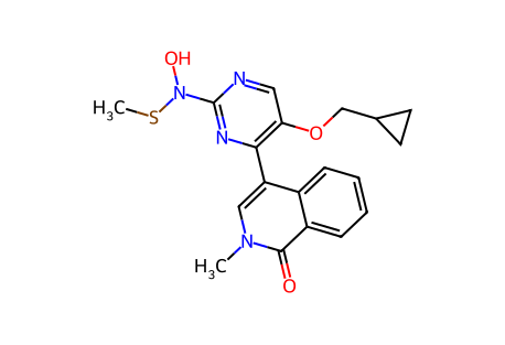 CSN(O)c1ncc(OCC2CC2)c(-c2cn(C)c(=O)c3ccccc23)n1